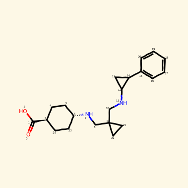 O=C(O)[C@H]1CC[C@H](NCC2(CNC3CC3c3ccccc3)CC2)CC1